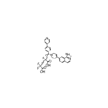 Nc1nccc2ccc(C3=CCN(C(=O)c4ccc(-c5ccncc5)cc4)CC3)cc12.O=C(O)C(F)(F)F.O=C(O)C(F)(F)F